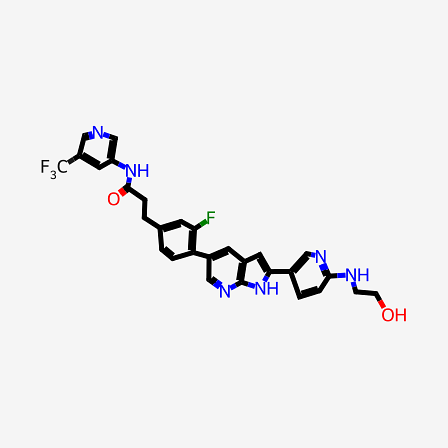 O=C(CCc1ccc(-c2cnc3[nH]c(-c4ccc(NCCO)nc4)cc3c2)c(F)c1)Nc1cncc(C(F)(F)F)c1